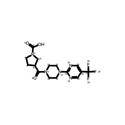 O=C(O)N1CCC(C(=O)N2CCN(c3ncc(C(F)(F)F)cn3)CC2)C1